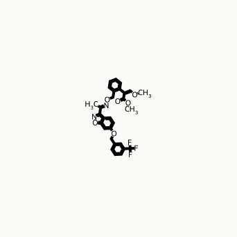 COC=C(C(=O)OC)c1ccccc1CON=C(C)c1noc2cc(OCc3cccc(C(F)(F)F)c3)ccc12